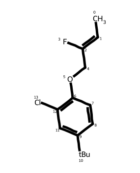 CC=C(F)COc1ccc(C(C)(C)C)cc1Cl